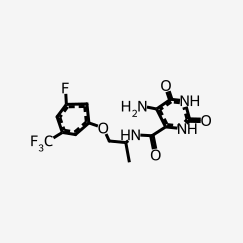 CC(COc1cc(F)cc(C(F)(F)F)c1)NC(=O)c1[nH]c(=O)[nH]c(=O)c1N